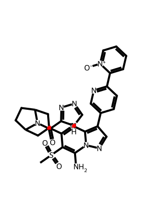 CS(=O)(=O)c1c(C2CC3CCC(C2)N3C(=O)c2nnc[nH]2)nc2c(-c3ccc(-c4cccc[n+]4[O-])nc3)cnn2c1N